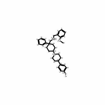 COc1ccccc1CNCC1(c2ccccc2)CCC(N2CCC(c3ccc(F)cc3)CC2)CC1